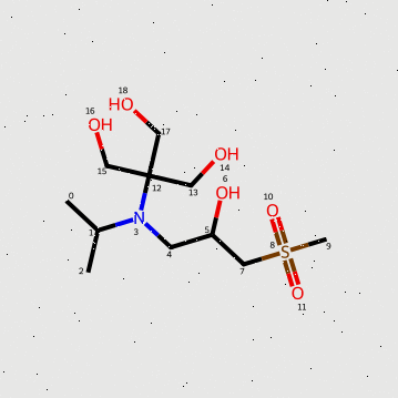 CC(C)N(CC(O)CS(C)(=O)=O)C(CO)(CO)CO